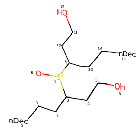 CCCCCCCCCCCCC(CCO)[S+]([O-])C(CCO)CCCCCCCCCCCC